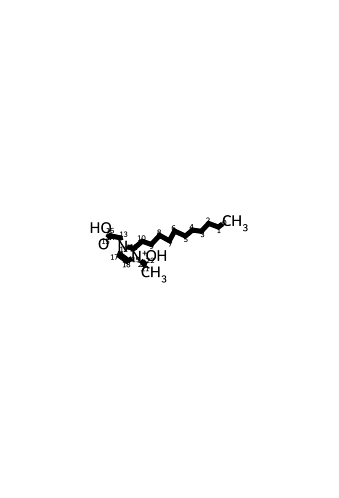 CCCCCCCCCCCc1n(CC(=O)O)cc[n+]1C(C)O